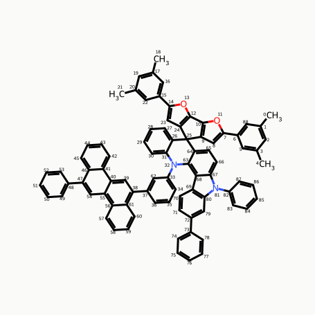 Cc1cc(C)cc(-c2cc3c(o2)-c2oc(-c4cc(C)cc(C)c4)cc2C32c3ccccc3N(c3cccc(-c4cc5c6ccccc6c(-c6ccccc6)cc5c5ccccc45)c3)c3c2ccc2c3c3ccc(-c4ccccc4)cc3n2-c2ccccc2)c1